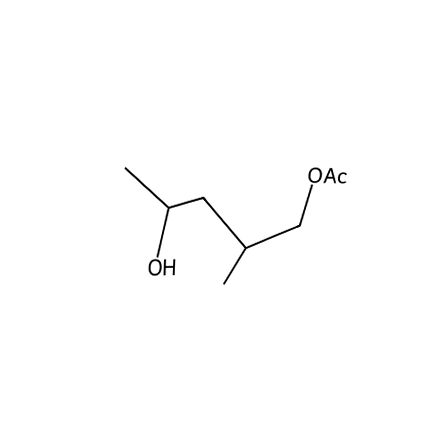 CC(=O)OCC(C)CC(C)O